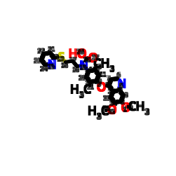 COc1cc2nccc(Oc3cc(C)c(N(CCCSc4ccccn4)C(=O)O)cc3C)c2cc1OC